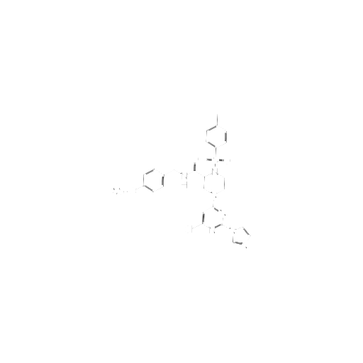 COc1ccc(CNC(=O)C2CN(c3cc(Cl)nc(-n4ccnc4)n3)CCN2S(=O)(=O)c2ccc(C)cc2)cc1